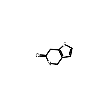 O=C1Cc2sccc2C[N]1